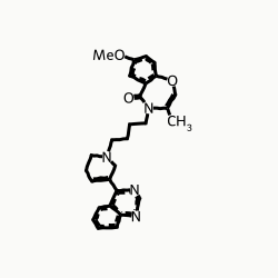 COc1ccc2c(c1)C(=O)N(CCCCN1CCC=C(c3ncnc4ccccc34)C1)C(C)=CO2